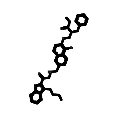 CCCCc1c(C(=O)CNCc2ccc3c(Br)c(OCC(Cc4ccccc4)C(=O)OC)ccc3c2)oc2ccccc12